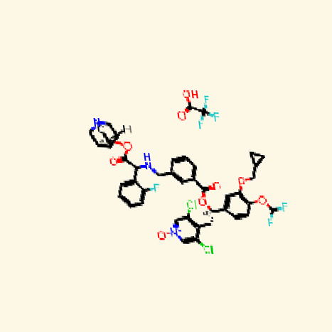 O=C(O)C(F)(F)F.O=C(O[C@@H](Cc1c(Cl)c[n+]([O-])cc1Cl)c1ccc(OC(F)F)c(OCC2CC2)c1)c1cccc(CNC(C(=O)O[C@H]2CN3CCC2CC3)c2ccccc2F)c1